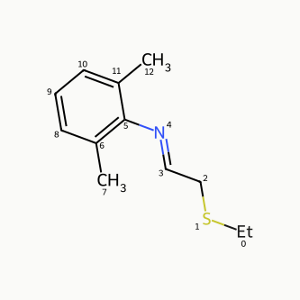 CCSCC=Nc1c(C)cccc1C